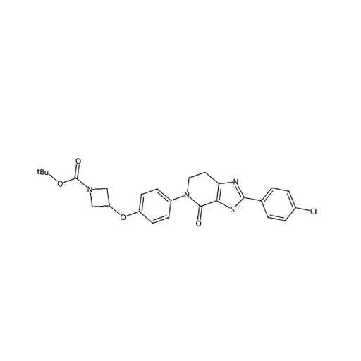 CC(C)(C)OC(=O)N1CC(Oc2ccc(N3CCc4nc(-c5ccc(Cl)cc5)sc4C3=O)cc2)C1